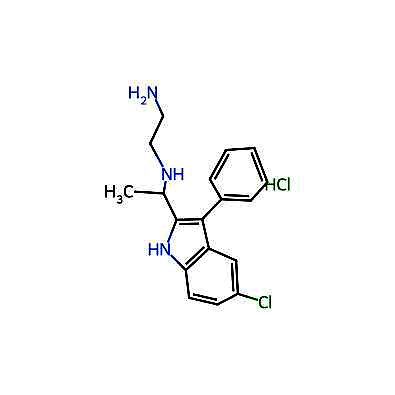 CC(NCCN)c1[nH]c2ccc(Cl)cc2c1-c1ccccc1.Cl